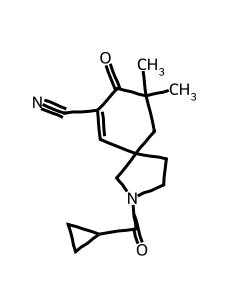 CC1(C)CC2(C=C(C#N)C1=O)CCN(C(=O)C1CC1)C2